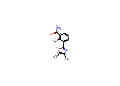 Cc1nc(-c2cccc(C(N)=O)c2C)sc1C